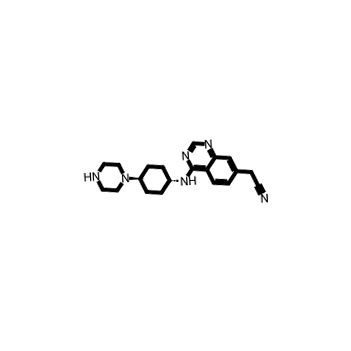 N#CCc1ccc2c(N[C@H]3CC[C@H](N4CCNCC4)CC3)ncnc2c1